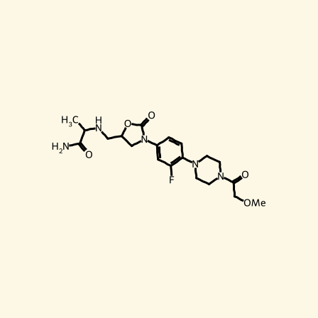 COCC(=O)N1CCN(c2ccc(N3CC(CNC(C)C(N)=O)OC3=O)cc2F)CC1